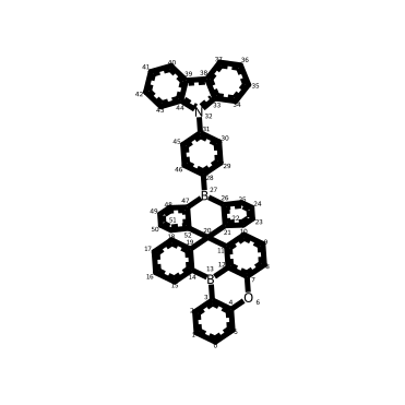 c1ccc2c(c1)Oc1cccc3c1B2c1ccccc1C31c2ccccc2B(c2ccc(-n3c4ccccc4c4ccccc43)cc2)c2ccccc21